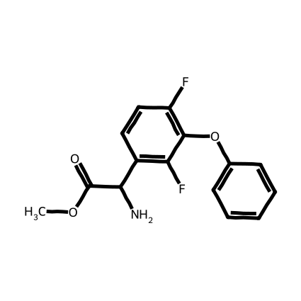 COC(=O)C(N)c1ccc(F)c(Oc2ccccc2)c1F